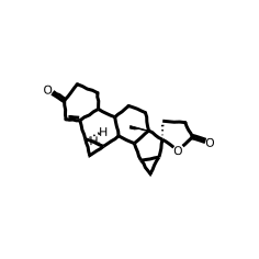 C[C@]12CCC3C4CCC(=O)C=C4[C@@H]4C[C@@H]4C3C1C1CC1[C@@]21CCC(=O)O1